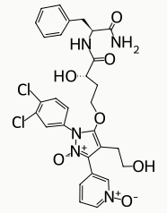 NC(=O)[C@H](Cc1ccccc1)NC(=O)[C@@H](O)CCOc1c(CCO)c(-c2ccc[n+]([O-])c2)[n+]([O-])n1-c1ccc(Cl)c(Cl)c1